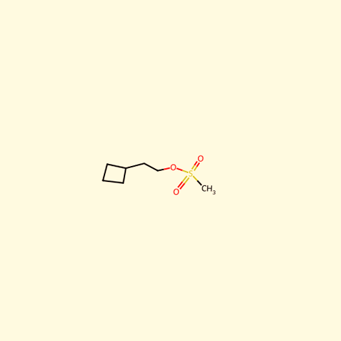 CS(=O)(=O)OCCC1CCC1